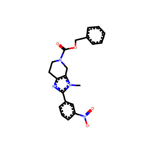 Cn1c(-c2cccc([N+](=O)[O-])c2)nc2c1CN(C(=O)OCc1ccccc1)CC2